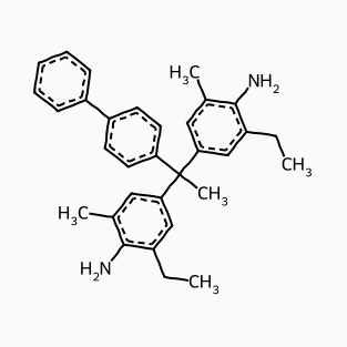 CCc1cc(C(C)(c2ccc(-c3ccccc3)cc2)c2cc(C)c(N)c(CC)c2)cc(C)c1N